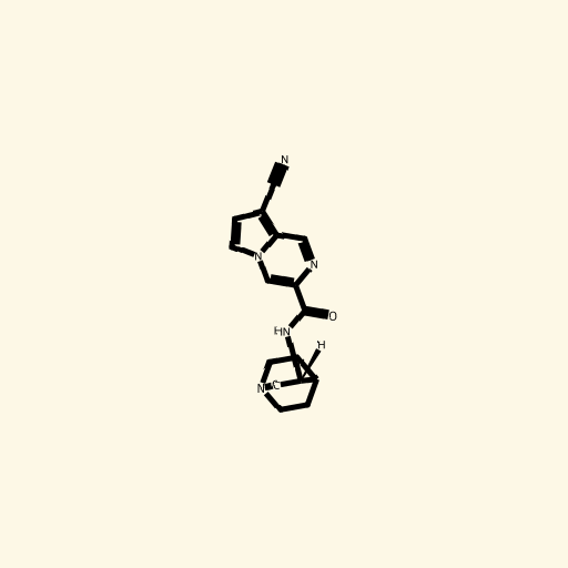 N#Cc1ccn2cc(C(=O)N[C@H]3CN4CCC3CC4)ncc12